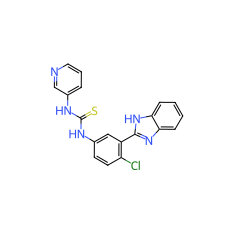 S=C(Nc1cccnc1)Nc1ccc(Cl)c(-c2nc3ccccc3[nH]2)c1